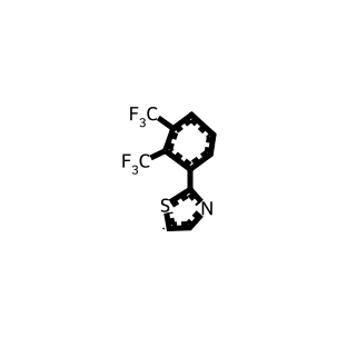 FC(F)(F)c1cccc(-c2nc[c]s2)c1C(F)(F)F